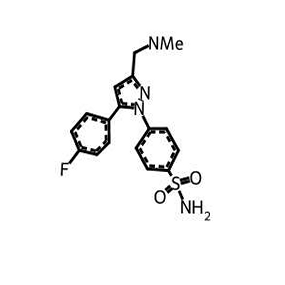 CNCc1cc(-c2ccc(F)cc2)n(-c2ccc(S(N)(=O)=O)cc2)n1